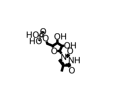 Cc1cn(C2OC(COP(=O)(O)O)C(O)C2O)c(=O)[nH]c1=O